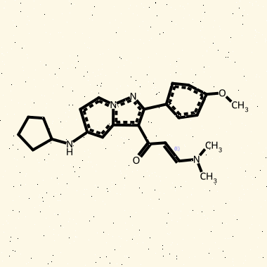 COc1ccc(-c2nn3ccc(NC4CCCC4)cc3c2C(=O)/C=C/N(C)C)cc1